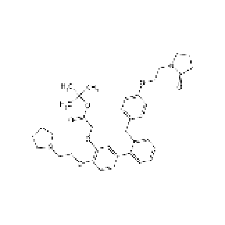 CC(C)(C)OC(=O)COc1cc(-c2ccccc2Cc2ccc(OCCN3CCCC3=O)cc2)ccc1OCCN1CCCC1